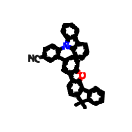 CC1(C)c2ccccc2-c2c1ccc1c2oc2ccc(-c3cc(C#N)ccc3-n3c4ccccc4c4ccccc43)cc21